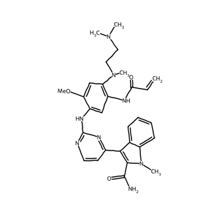 C=CC(=O)Nc1cc(Nc2nccc(-c3c(C(N)=O)n(C)c4ccccc34)n2)c(OC)cc1N(C)CCN(C)C